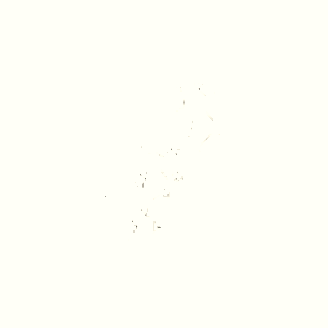 Cc1nc(C(=O)NCc2cccc3cnccc23)c(N)nc1-n1nccn1